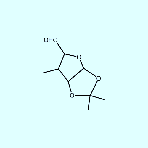 CC1C(C=O)OC2OC(C)(C)OC21